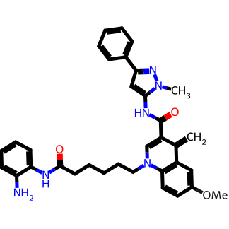 C=C1C(C(=O)Nc2cc(-c3ccccc3)nn2C)=CN(CCCCCC(=O)Nc2ccccc2N)c2ccc(OC)cc21